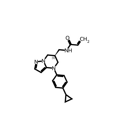 C=CC(=O)NC[C@H]1CN(c2ccc(C3CC3)cc2)c2ccnn2C1